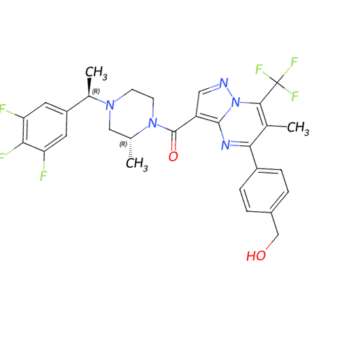 Cc1c(-c2ccc(CO)cc2)nc2c(C(=O)N3CCN([C@H](C)c4cc(F)c(F)c(F)c4)C[C@H]3C)cnn2c1C(F)(F)F